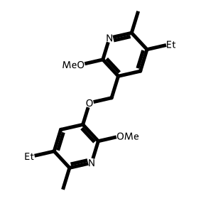 CCc1cc(COc2cc(CC)c(C)nc2OC)c(OC)nc1C